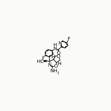 C#CC1(c2cc(NC(=O)c3ccc(F)cn3)ccc2F)N=C(N)O[C@@H]2COC[C@@H]21